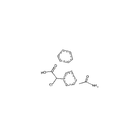 CC(N)=O.O=C(O)C(Cl)c1ccccc1.c1ccccc1